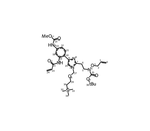 C=CCON(CCc1nc(-c2ccc(NC(=O)OC)cc2NC(=O)C=C)cn1COCC[Si](C)(C)C)C(=O)OC(C)(C)C